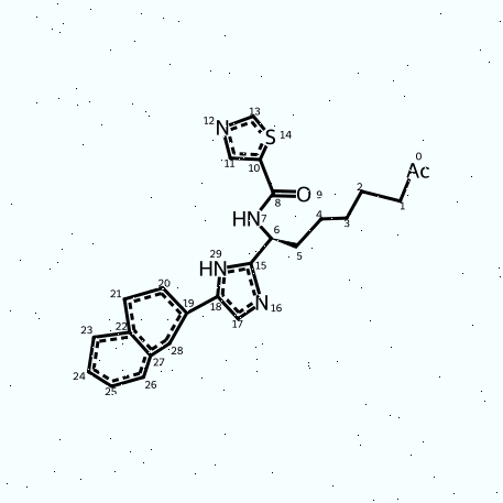 CC(=O)CCCCC[C@H](NC(=O)c1cncs1)c1ncc(-c2ccc3ccccc3c2)[nH]1